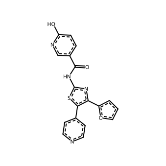 O=C(Nc1nc(-c2ccco2)c(-c2ccncc2)s1)c1ccc(O)nc1